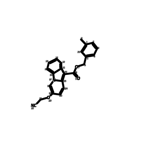 Cc1cccc(COC(=O)c2c3ccccc3n3cc(OCC#N)ccc23)c1